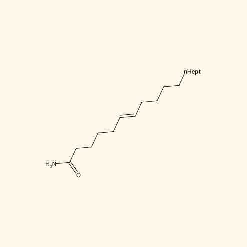 CCCCCCCCCCCC=CCCCCC(N)=O